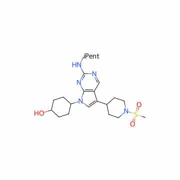 CCCC(C)Nc1ncc2c(C3CCN(S(C)(=O)=O)CC3)cn(C3CCC(O)CC3)c2n1